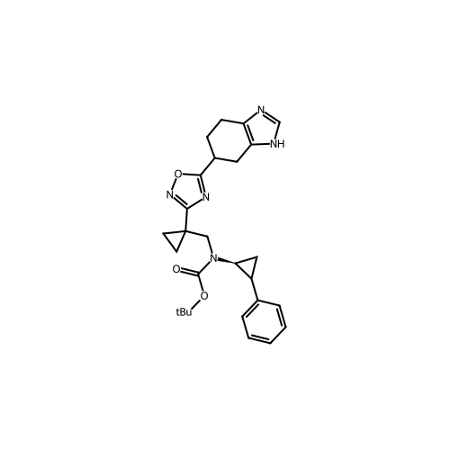 CC(C)(C)OC(=O)N(CC1(c2noc(C3CCc4nc[nH]c4C3)n2)CC1)[C@H]1CC1c1ccccc1